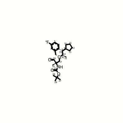 Cc1cc(F)ccc1[C@H](C1CCCC1)[C@@H](C)OC[C@@](C)(C=O)NC(=O)OC(C)(C)C